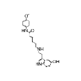 COc1ccc(NC(=O)C=CCCCNCCc2c[nH]c3ccc(O)cc23)cc1